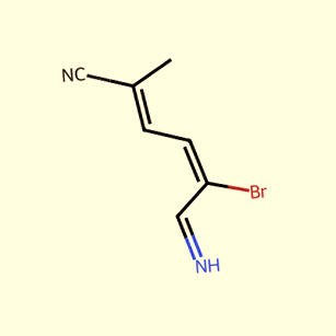 C/C(C#N)=C\C=C(\Br)C=N